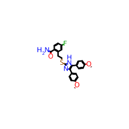 COc1ccc(-c2nc(SCCc3cc(F)ccc3C(N)=O)[nH]c2-c2ccc(OC)cc2)cc1